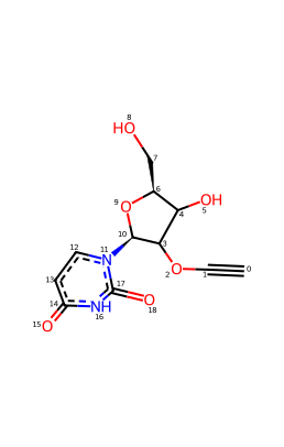 C#COC1C(O)[C@H](CO)O[C@@H]1n1ccc(=O)[nH]c1=O